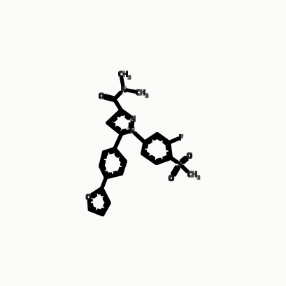 CN(C)C(=O)c1cc(-c2ccc(-c3ccco3)cc2)n(-c2ccc(S(C)(=O)=O)c(F)c2)n1